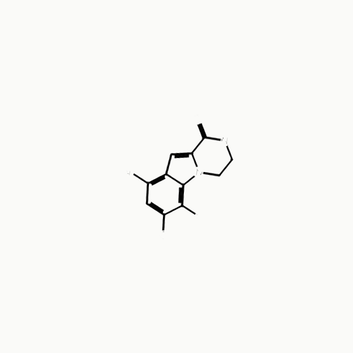 O=C1NCCn2c1cc1c(Br)cc(Cl)c(Cl)c12